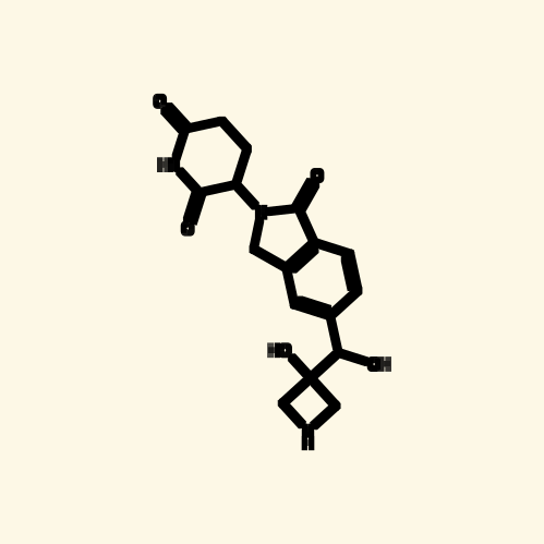 O=C1CCC(N2Cc3cc(C(O)C4(O)CNC4)ccc3C2=O)C(=O)N1